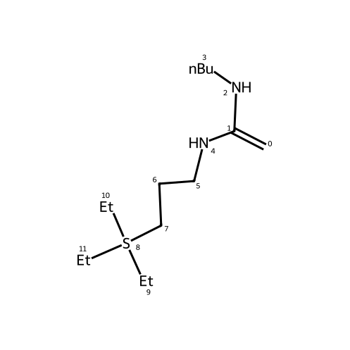 C=C(NCCCC)NCCCS(CC)(CC)CC